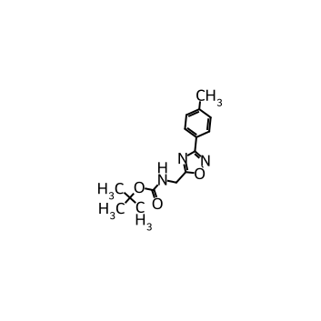 Cc1ccc(-c2noc(CNC(=O)OC(C)(C)C)n2)cc1